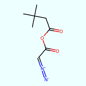 CC(C)(C)CC(=O)OC(=O)C=[N+]=[N-]